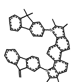 C=C1c2ccccc2-c2ccc(-n3c(C)c(C)c4ccc5c6ccc7c(C)c(C)n(-c8ccc9c(c8)C(C)(C)c8ccccc8-9)c7c6ccc5c43)cc21